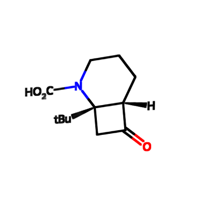 CC(C)(C)[C@]12CC(=O)[C@H]1CCCN2C(=O)O